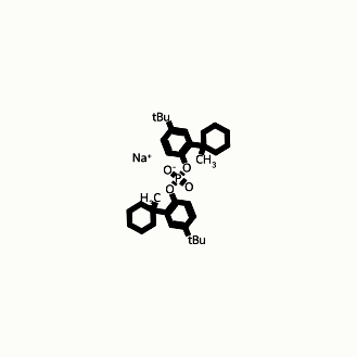 CC(C)(C)c1ccc(OP(=O)([O-])Oc2ccc(C(C)(C)C)cc2C2(C)CCCCC2)c(C2(C)CCCCC2)c1.[Na+]